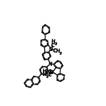 C[Si]1(C)c2cc(-c3ccccc3)ccc2-c2ccc(N(c3ccc(-c4ccc5ccccc5c4)cc3)c3cccc4c3[Si](C)(C)c3ccccc3-4)cc21